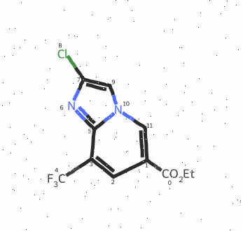 CCOC(=O)c1cc(C(F)(F)F)c2nc(Cl)cn2c1